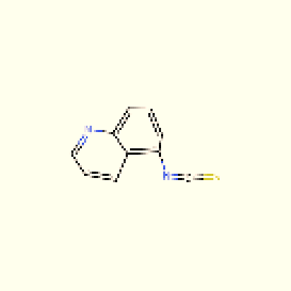 S=C=Nc1cccc2ncccc12